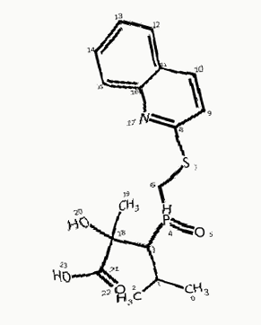 CC(C)C([PH](=O)CSc1ccc2ccccc2n1)C(C)(O)C(=O)O